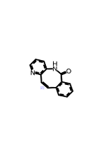 O=C1Nc2cccnc2/C=C\c2ccccc21